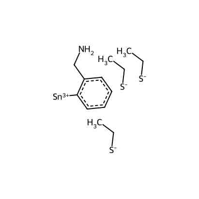 CC[S-].CC[S-].CC[S-].NCc1cccc[c]1[Sn+3]